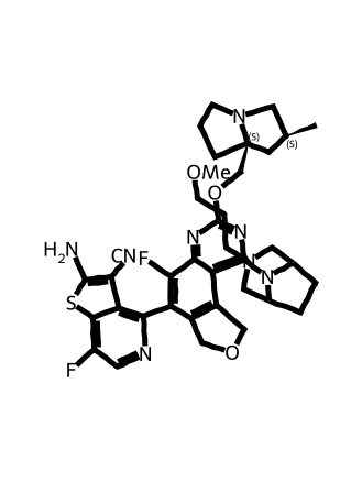 COCCCN1CC2CCC(C1)N2c1nc(OC[C@@]23CCCN2C[C@@H](C)C3)nc2c(F)c(-c3ncc(F)c4sc(N)c(C#N)c34)c3c(c12)COC3